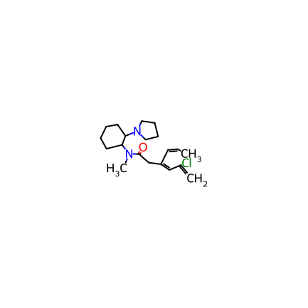 C=C(Cl)/C=C(\C=C/C)CC(=O)N(C)C1CCCCC1N1CCCC1